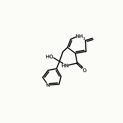 C=C/C=C1/C(=O)NC(O)(c2ccncc2)C/C1=C/N